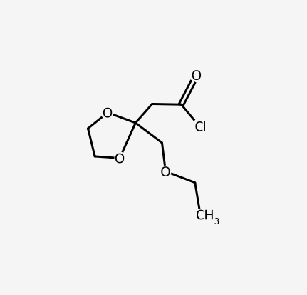 CCOCC1(CC(=O)Cl)OCCO1